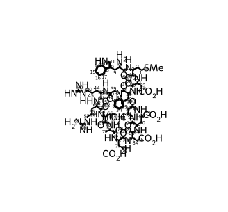 CSCCC(NC(=O)C(N)Cc1c[nH]c2ccccc12)C(=O)NC(CC(=O)O)C(=O)NC(Cc1ccccc1)C(=O)NCC(=O)NC(CCCNC(=N)N)C(=O)NC(CCCNC(=N)N)C(=O)NC(CO)C(=O)NC(C)C(=O)NC(CCC(=O)O)C(=O)NC(CC(=O)O)C(=O)NC(CCC(=O)O)C(=O)NC(CC(N)=O)C(=O)O